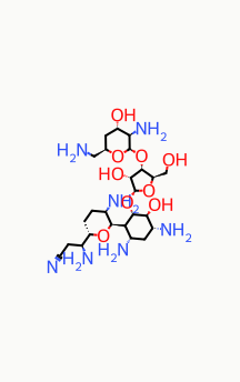 N#CC[C@H](N)[C@@H]1CC[C@@H](N)[C@@H](C2[C@@H](N)C[C@@H](N)[C@H](O)[C@H]2O[C@@H]2O[C@H](CO)[C@@H](O[C@H]3O[C@@H](CN)C[C@H](O)[C@H]3N)[C@H]2O)O1